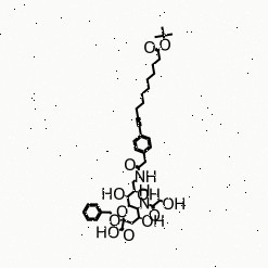 CC(C)(C)OC(=O)CCCCCCCCC#Cc1ccc(CC(=O)NC[C@@H](O)[C@@H](O)[C@@H]2O[C@@](OCc3ccccc3)(C(=O)O)C[C@H](O)[C@H]2NC(=O)CO)cc1